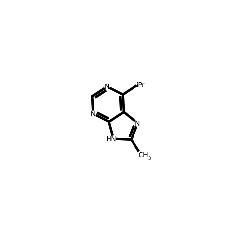 Cc1nc2c(C(C)C)ncnc2[nH]1